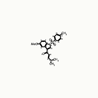 COc1ccc2c(c1)c(C(=O)/C=C/N(C)C)cn2S(=O)(=O)c1ccc(C)cc1